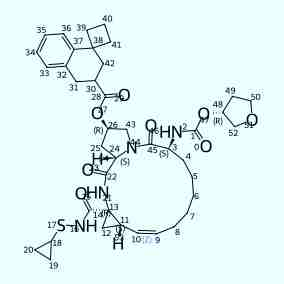 O=C(N[C@H]1CCCCC/C=C\[C@@H]2C[C@@]2(C(=O)NSC2CC2)NC(=O)[C@@H]2C[C@@H](OC(=O)C3Cc4ccccc4C4(CCC4)C3)CN2C1=O)O[C@@H]1CCOC1